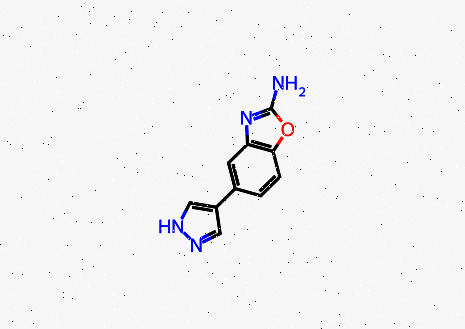 Nc1nc2cc(-c3cn[nH]c3)ccc2o1